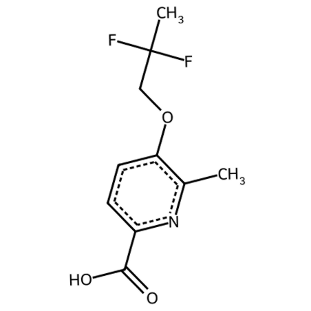 Cc1nc(C(=O)O)ccc1OCC(C)(F)F